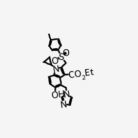 CCOC(=O)c1c(CS(=O)(=O)c2ccc(C)cc2)n(C2CC2)c2ccc(O)c(Cn3ccnc3)c12